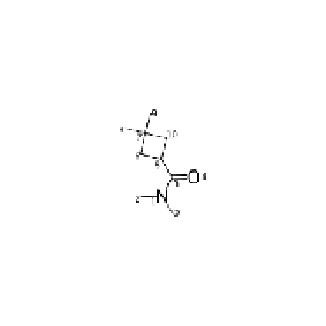 CN(C)C(=O)C1CC(C)(C)C1